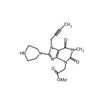 CC#CCn1c(N2CCNCC2)nc2c1c(=O)n(C)c(=O)n2CC(=O)OC